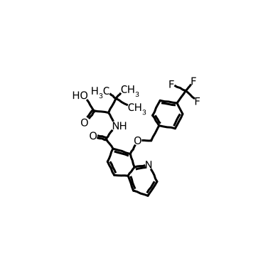 CC(C)(C)C(NC(=O)c1ccc2cccnc2c1OCc1ccc(C(F)(F)F)cc1)C(=O)O